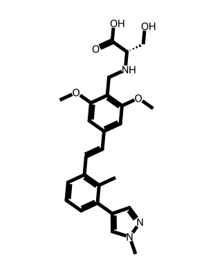 COc1cc(/C=C/c2cccc(-c3cnn(C)c3)c2C)cc(OC)c1CN[C@@H](CO)C(=O)O